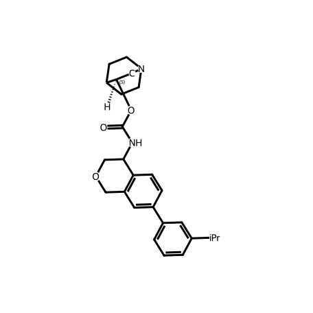 CC(C)c1cccc(-c2ccc3c(c2)COCC3NC(=O)O[C@@H]2CN3CCC2CC3)c1